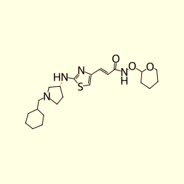 O=C(C=Cc1csc(N[C@@H]2CCN(CC3CCCCC3)C2)n1)NOC1CCCCO1